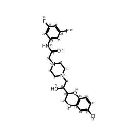 O=C(CN1CCN(CC(O)C2COc3cc(Cl)ccc3O2)CC1)Nc1cc(F)cc(F)c1